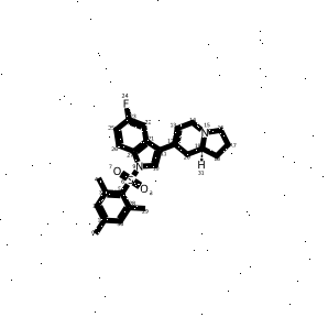 Cc1cc(C)c(S(=O)(=O)n2cc(C3=CCN4CCC[C@H]4C3)c3cc(F)ccc32)c(C)c1